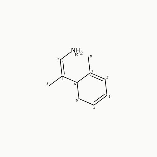 CC1=CC=CCC1/C(C)=C\N